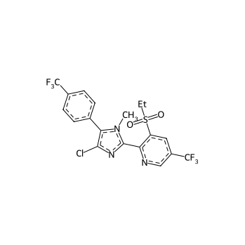 CCS(=O)(=O)c1cc(C(F)(F)F)cnc1-c1nc(Cl)c(-c2ccc(C(F)(F)F)cc2)n1C